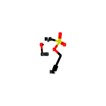 C#CCOS(C)(=O)=O.[O]C=O